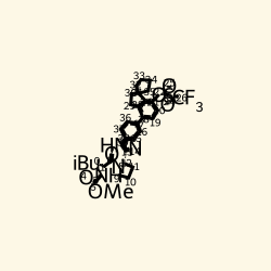 CCC(C)[C@H](NC(=O)OC)C(=O)N1CCC[C@H]1c1nc2cc(-c3ccc(OS(=O)(=O)C(F)(F)F)c4c3CCC43CCCC3)ccc2[nH]1